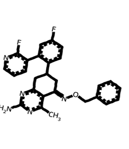 Cc1nc(N)nc2c1C(=NOCc1ccccc1)CC(c1ccc(F)cc1-c1cccnc1F)C2